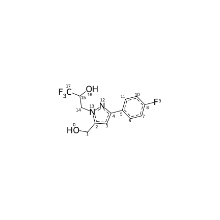 OCc1cc(-c2ccc(F)cc2)nn1CC(O)C(F)(F)F